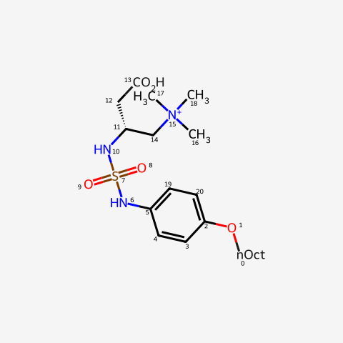 CCCCCCCCOc1ccc(NS(=O)(=O)N[C@H](CC(=O)O)C[N+](C)(C)C)cc1